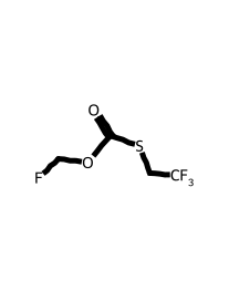 O=C(OCF)SCC(F)(F)F